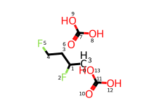 CC(F)CCF.O=C(O)O.O=C(O)O